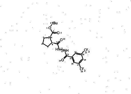 CC(C)(C)OC(=O)N1CCC[C@@H]1C(=O)NNC(=O)c1cc(C(F)(F)F)cc(C(F)(F)F)c1